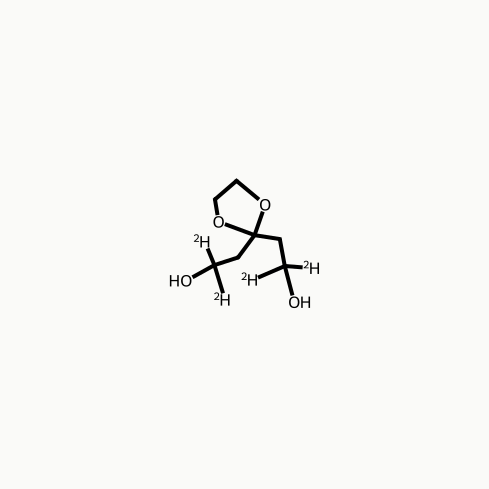 [2H]C([2H])(O)CC1(CC([2H])([2H])O)OCCO1